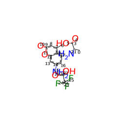 CC(N)C(=O)O.Cc1cc(=O)oc2cc(N)ccc12.O=C(O)C(F)(F)F